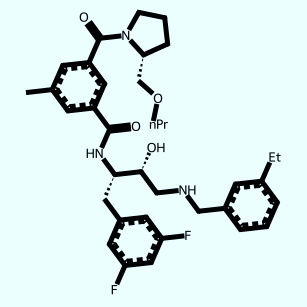 CCCOC[C@H]1CCCN1C(=O)c1cc(C)cc(C(=O)N[C@@H](Cc2cc(F)cc(F)c2)[C@H](O)CNCc2cccc(CC)c2)c1